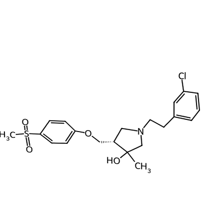 CC1(O)CN(CCc2cccc(Cl)c2)C[C@H]1COc1ccc(S(C)(=O)=O)cc1